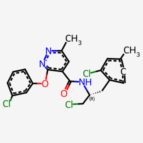 Cc1ccc(C[C@H](CCl)NC(=O)c2cc(C)nnc2Oc2cccc(Cl)c2)c(Cl)c1